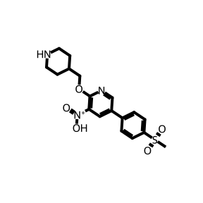 CS(=O)(=O)c1ccc(-c2cnc(OCC3CCNCC3)c([N+](=O)O)c2)cc1